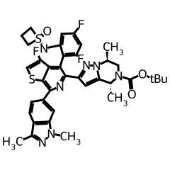 Cc1nn(C)c2cc(-c3nc(-c4cc5n(n4)[C@@H](C)CN(C(=O)OC(C)(C)C)[C@@H]5C)c(-c4c(F)cc(F)cc4N=S4(=O)CCC4)c4c(F)csc34)ccc12